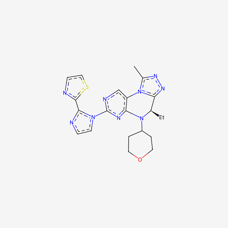 CC[C@@H]1c2nnc(C)n2-c2cnc(-n3ccnc3-c3nccs3)nc2N1C1CCOCC1